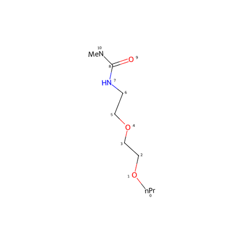 CCCOCCOCCNC(=O)NC